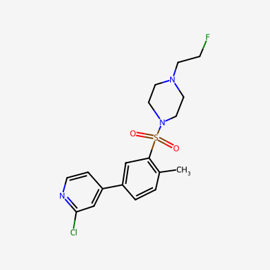 Cc1ccc(-c2ccnc(Cl)c2)cc1S(=O)(=O)N1CCN(CCF)CC1